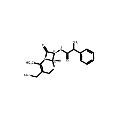 CSCC1=C(C(=O)O)N2C(=O)[C@@H](NC(=O)C(N)c3ccccc3)[C@@H]2SC1